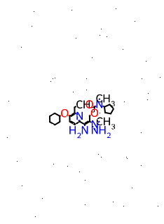 CCc1nc(/C(N)=C(\COC(=O)N(C)C2CCCC2)N(C)N)ccc1OC1CCCCC1